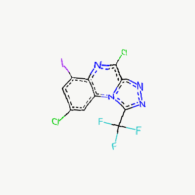 FC(F)(F)c1nnc2c(Cl)nc3c(I)cc(Cl)cc3n12